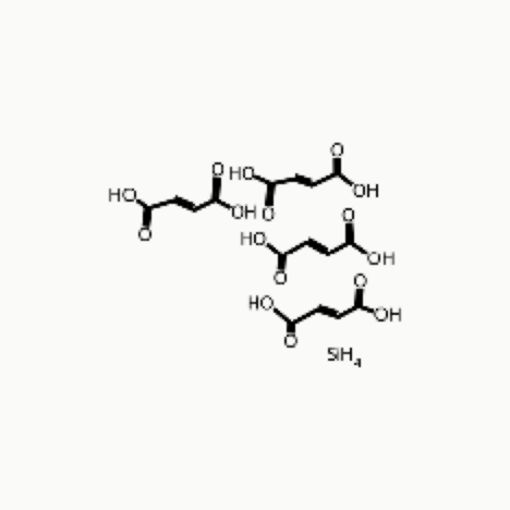 O=C(O)/C=C/C(=O)O.O=C(O)/C=C/C(=O)O.O=C(O)/C=C/C(=O)O.O=C(O)/C=C/C(=O)O.[SiH4]